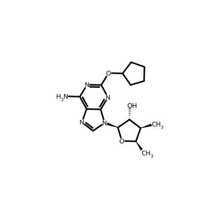 C[C@@H]1[C@@H](O)[C@H](n2cnc3c(N)nc(OC4CCCC4)nc32)O[C@@H]1C